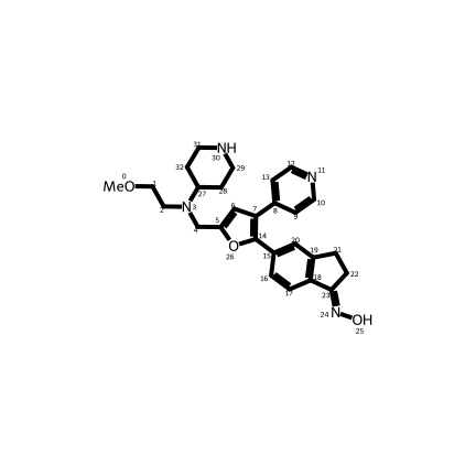 COCCN(Cc1cc(-c2ccncc2)c(-c2ccc3c(c2)CCC3=NO)o1)C1CCNCC1